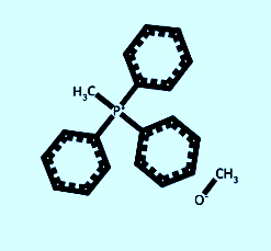 C[O-].C[P+](c1ccccc1)(c1ccccc1)c1ccccc1